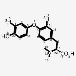 [3H]c1cc(Oc2ccc(C[C@@H](C(=O)O)N(I)I)cc2[3H])ccc1O